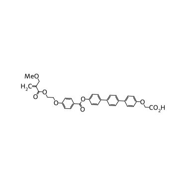 C=C(COC)C(=O)OCCOc1ccc(C(=O)Oc2ccc(-c3ccc(-c4ccc(OCC(=O)O)cc4)cc3)cc2)cc1